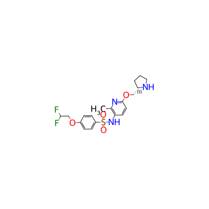 Cc1nc(OC[C@@H]2CCCN2)ccc1NS(=O)(=O)c1ccc(OCC(F)F)cc1